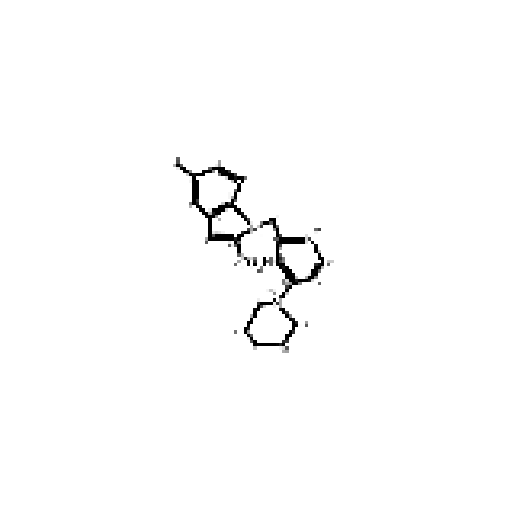 Cc1ccc2c(c1)cc(C(=O)O)n2Cc1cc(N2CCCCC2)ccn1